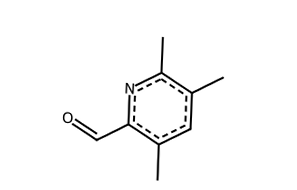 Cc1cc(C)c(C=O)nc1C